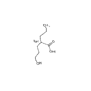 CCCC(CCCO)C(=O)O.[NaH]